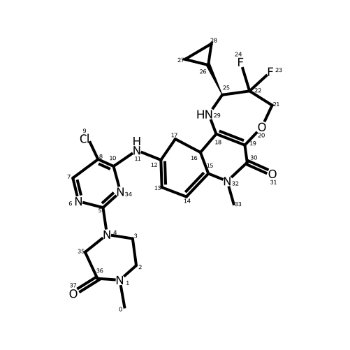 CN1CCN(c2ncc(Cl)c(NC3=CC=C4C(C3)C3=C(OCC(F)(F)[C@H](C5CC5)N3)C(=O)N4C)n2)CC1=O